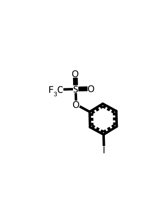 O=S(=O)(Oc1cccc(I)c1)C(F)(F)F